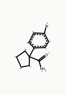 NC(=O)C1(c2ccc(Br)cc2)CCCC1